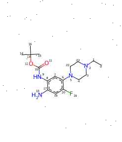 CCN1CCN(c2cc(NC(=O)OC(C)(C)C)c(N)cc2F)CC1